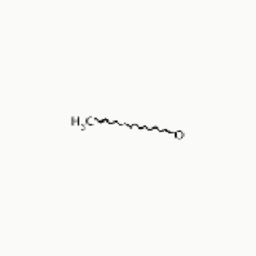 CCC=CCCCCCCCCCCC/C=C/C=O